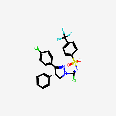 O=S(=O)(/N=C(/Cl)N1C[C@H](c2ccccc2)C(c2ccc(Cl)cc2)=N1)c1ccc(C(F)(F)F)cc1